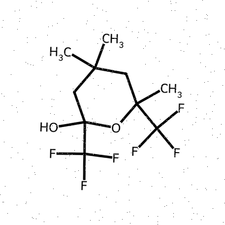 CC1(C)CC(C)(C(F)(F)F)OC(O)(C(F)(F)F)C1